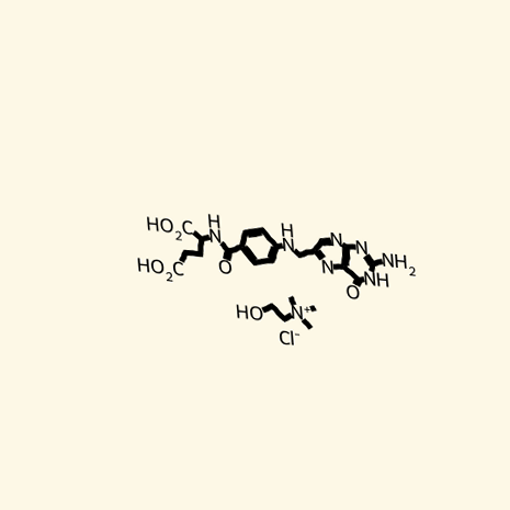 C[N+](C)(C)CCO.Nc1nc2ncc(CNc3ccc(C(=O)NC(CCC(=O)O)C(=O)O)cc3)nc2c(=O)[nH]1.[Cl-]